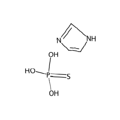 OP(O)(O)=S.c1c[nH]cn1